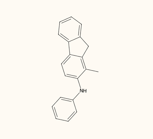 Cc1c(Nc2ccccc2)ccc2c1Cc1ccccc1-2